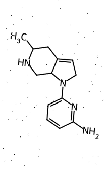 CC1CC2=CCN(c3cccc(N)n3)C2CN1